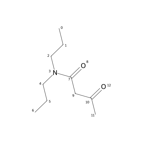 CCCN(CCC)C(=O)CC(C)=O